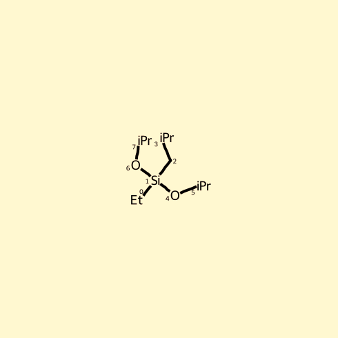 CC[Si](CC(C)C)(OC(C)C)OC(C)C